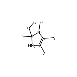 CCC1(C)NC(C)=C(C)N1C